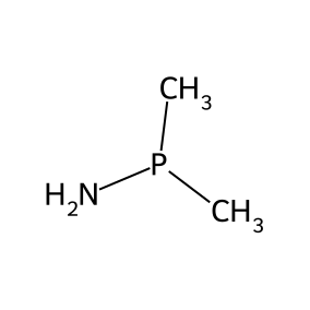 CP(C)N